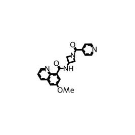 COc1cc(C(=O)NC2CN(C(=O)c3ccncc3)C2)c2ncccc2c1